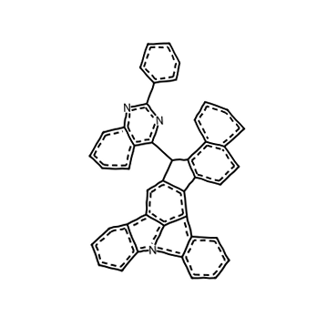 c1ccc(-c2nc(C3c4cc5c6ccccc6n6c7ccccc7c(c4-c4ccc7ccccc7c43)c56)c3ccccc3n2)cc1